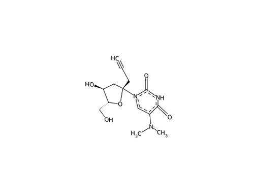 C#CC[C@]1(n2cc(N(C)C)c(=O)[nH]c2=O)C[C@H](O)[C@@H](CO)O1